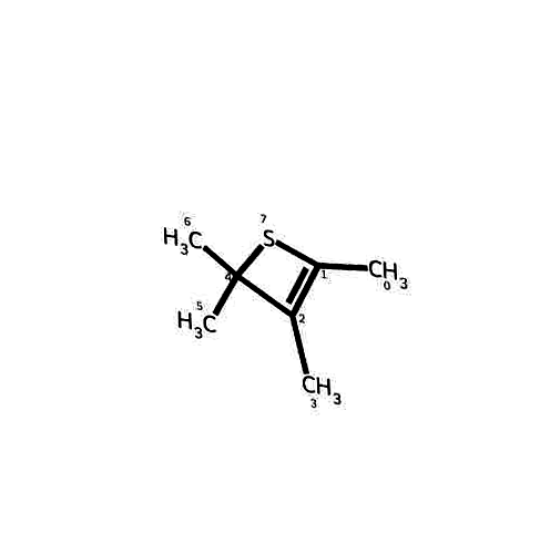 CC1=C(C)C(C)(C)S1